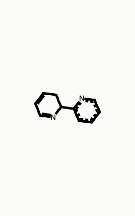 C1=CCC(c2ccccn2)N=C1